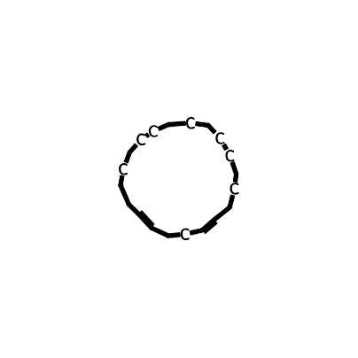 C1=C/CCCCCCCCCCCCCC/C=C/CC/1